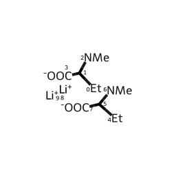 CCC(NC)C(=O)[O-].CCC(NC)C(=O)[O-].[Li+].[Li+]